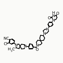 C[C@H]1CC2(CCN(c3ccc(C(=O)N4CCC5(CCC(N6CCN(c7ccc(N8CCC(=O)NC8=O)cc7)CC6)CC5)CC4)cc3)CC2)CN1c1ccc(C#N)c(Cl)c1